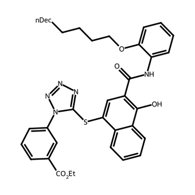 CCCCCCCCCCCCCCOc1ccccc1NC(=O)c1cc(Sc2nnnn2-c2cccc(C(=O)OCC)c2)c2ccccc2c1O